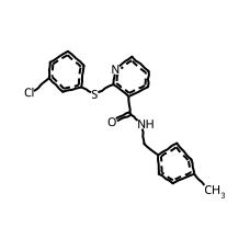 Cc1ccc(CNC(=O)c2cccnc2Sc2cccc(Cl)c2)cc1